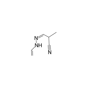 C=CN/N=C\C(C)C#N